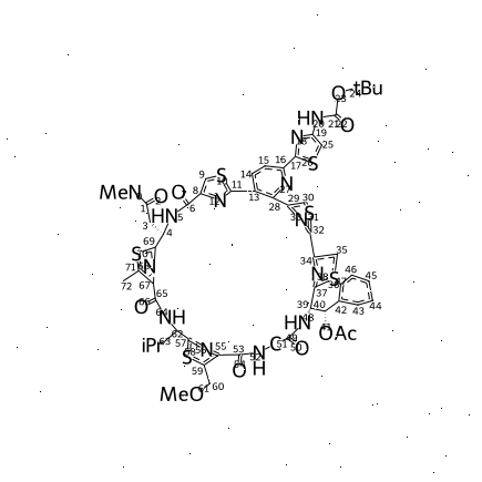 CNC(=O)C[C@@H]1NC(=O)c2csc(n2)-c2ccc(-c3nc(NC(=O)OC(C)(C)C)cs3)nc2-c2csc(n2)-c2csc(n2)[C@H]([C@@H](OC(C)=O)c2ccccc2)NC(=O)CNC(=O)c2nc(sc2COC)C(C(C)C)NC(=O)c2nc1sc2C